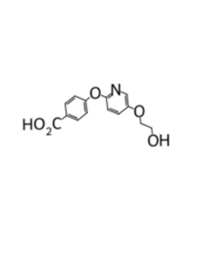 O=C(O)c1ccc(Oc2ccc(OCCO)cn2)cc1